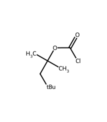 CC(C)(C)CC(C)(C)OC(=O)Cl